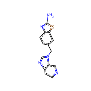 Nc1nc2ccc(Cn3cnc4ccncc43)cc2s1